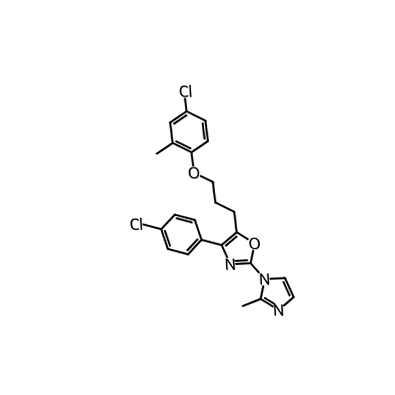 Cc1cc(Cl)ccc1OCCCc1oc(-n2ccnc2C)nc1-c1ccc(Cl)cc1